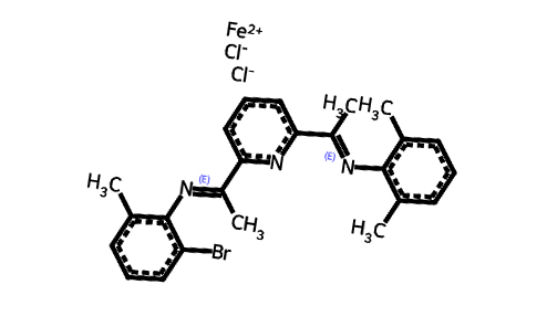 C/C(=N\c1c(C)cccc1C)c1cccc(/C(C)=N/c2c(C)cccc2Br)n1.[Cl-].[Cl-].[Fe+2]